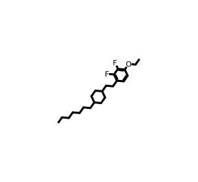 CCCCCCCC1CCC(CCc2ccc(OCC)c(F)c2F)CC1